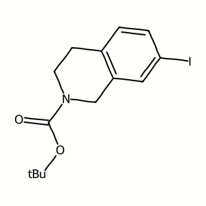 CC(C)(C)OC(=O)N1CCc2ccc(I)cc2C1